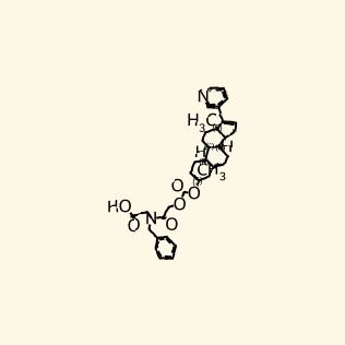 C[C@]12CC[C@H](OC(=O)OCC(=O)N(CC(=O)O)Cc3ccccc3)CC1=CC[C@H]1C3CC=C(c4cccnc4)[C@@]3(C)CC[C@@H]12